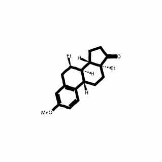 CC[C@@H]1Cc2cc(OC)ccc2[C@H]2CC[C@]3(CC)C(=O)CC[C@H]3[C@H]12